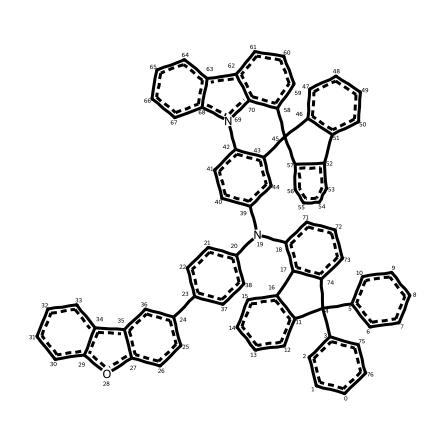 c1ccc(C2(c3ccccc3)c3ccccc3-c3c(N(c4ccc(-c5ccc6oc7ccccc7c6c5)cc4)c4ccc5c(c4)C4(c6ccccc6-c6ccccc64)c4cccc6c7ccccc7n-5c46)cccc32)cc1